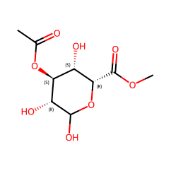 COC(=O)[C@@H]1OC(O)[C@H](O)[C@@H](OC(C)=O)[C@@H]1O